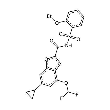 CCOc1ccccc1S(=O)(=O)NC(=O)c1cc2c(OC(F)F)cc(C3CC3)cc2o1